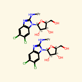 CC(C)Nc1nc2cc(Cl)c(Cl)cc2n1[C@H]1O[C@@H](CO)[C@H](O)[C@@H]1O.CC(C)Nc1nc2cc(Cl)c(Cl)cc2n1[C@H]1O[C@@H](CO)[C@H](O)[C@@H]1O